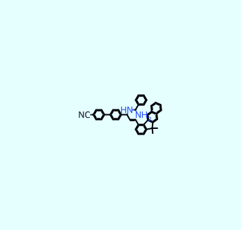 CC1(C)c2cc3ccccc3cc2-c2c(/C=C/C(NC(N)c3ccccc3)c3ccc(-c4ccc(C#N)cc4)cc3)cccc21